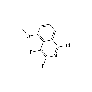 COc1cccc2c(Cl)nc(F)c(F)c12